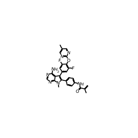 C=C(C)C(=O)Nc1ccc(-c2c(-c3cc(F)c(Oc4ncc(C)cn4)c(F)c3)c3c(N)ncnc3n2C)cc1